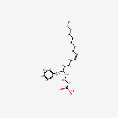 CCCCCCCC/C=C\CCC[CH](CCCC(=O)O)[Hg][c]1ccccc1